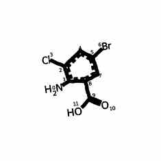 Nc1c(Cl)cc(Br)cc1C(=O)O